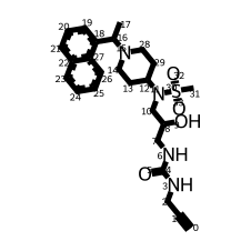 C#CCNC(=O)NCC(O)CN(C1CCN(C(C)c2cccc3ccccc23)CC1)S(C)(=O)=O